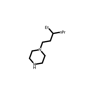 CCCC(CC)CCN1CCNCC1